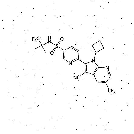 CC(C)(NS(=O)(=O)c1ccc(-c2c(C#N)c3cc(C(F)(F)F)cnc3n2C2CCC2)nc1)C(F)(F)F